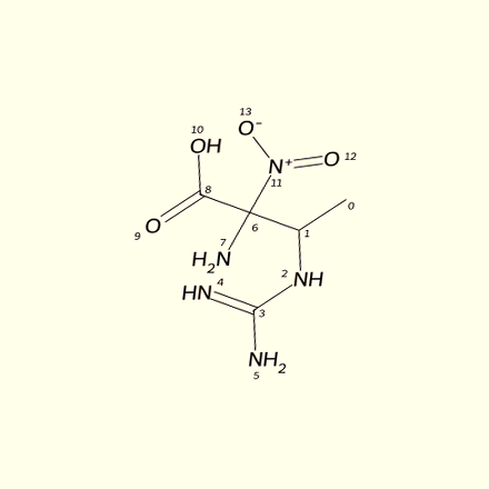 CC(NC(=N)N)C(N)(C(=O)O)[N+](=O)[O-]